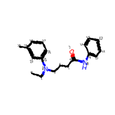 CCN(CCCC(=O)Nc1ccccc1)c1cccc(C)c1